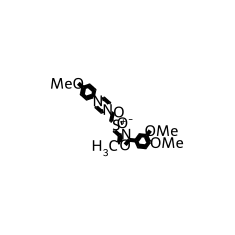 COc1ccc(N2CCN(C(=O)C[S+]([O-])Cc3nc(-c4ccc(OC)c(OC)c4)oc3C)CC2)cc1